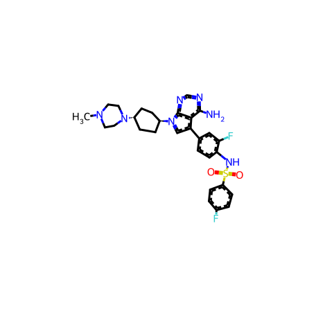 CN1CCN([C@H]2CC[C@H](n3cc(-c4ccc(NS(=O)(=O)c5ccc(F)cc5)c(F)c4)c4c(N)ncnc43)CC2)CC1